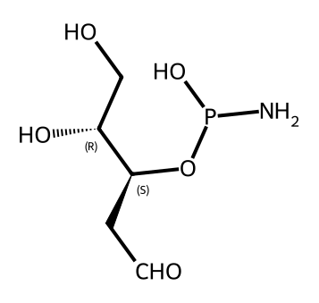 NP(O)O[C@@H](CC=O)[C@H](O)CO